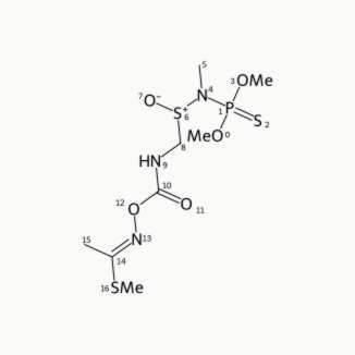 COP(=S)(OC)N(C)[S+]([O-])CNC(=O)O/N=C(\C)SC